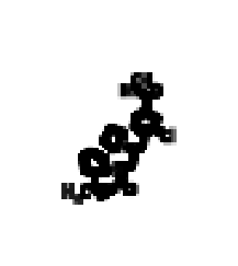 CNC(=O)c1ccc(CC(CNC(=O)[C@H]2C[C@]2(C)c2ccccc2)N2CCCC2)c(Cl)c1